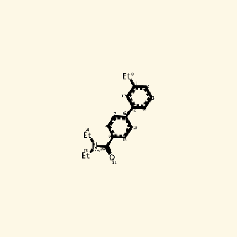 CCc1cccc(-c2ccc(C(=O)N(CC)CC)cc2)c1